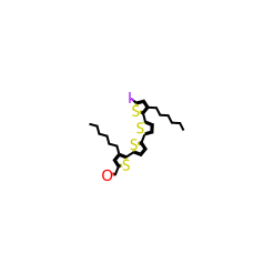 CCCCCCc1cc(I)sc1-c1ccc(-c2ccc(-c3sc(C=O)cc3CCCCCC)s2)s1